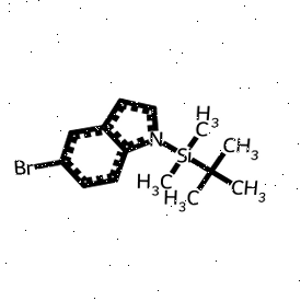 CC(C)(C)[Si](C)(C)n1ccc2cc(Br)ccc21